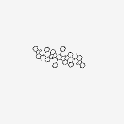 Cc1ccc2c(oc3ccccc32)c1N(c1ccccc1)c1cccc2c1c1cccc3c4c(-c5ccccc5)c5c(c(-c6ccccc6)c4n2c13)c1cccc2c3c(N(c4ccccc4)c4c(C)ccc6c4oc4ccccc46)cccc3n5c21